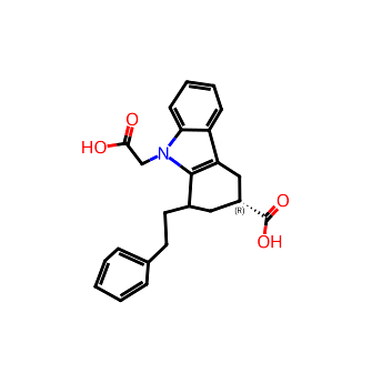 O=C(O)Cn1c2c(c3ccccc31)C[C@H](C(=O)O)CC2CCc1ccccc1